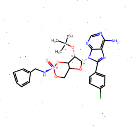 CC(C)(C)[Si](C)(C)O[C@H]1C2O[P@](=O)(NCc3ccccc3)OCC2O[C@H]1n1c(-c2ccc(F)cc2)nc2c(N)ncnc21